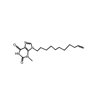 C=CCCCCCCCCCn1cnc2c(=O)[nH]c(=O)n(C)c21